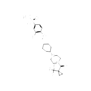 CS(=O)(=O)c1ccc(OC[C@H]2CC[C@H](N3CCN(C(=O)C4(C(F)(F)F)CC4)CC3)CC2)c(F)c1